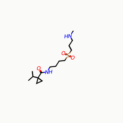 CNCCCS(=O)(=O)CCCCNC(=O)C1(C(C)C)CC1